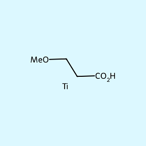 COCCC(=O)O.[Ti]